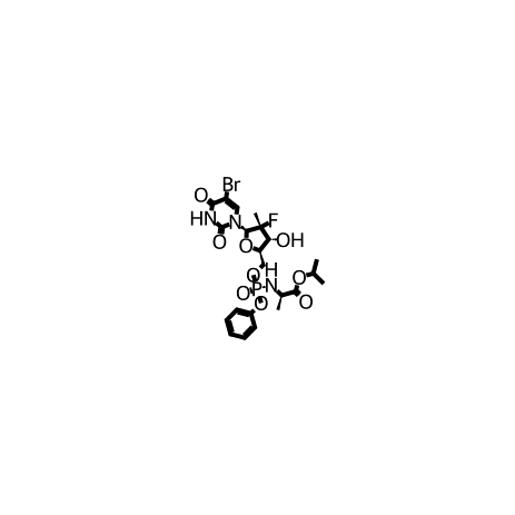 CC(C)OC(=O)[C@@H](C)N[P@](=O)(OC[C@H]1O[C@@H](n2cc(Br)c(=O)[nH]c2=O)[C@](C)(F)[C@@H]1O)Oc1ccccc1